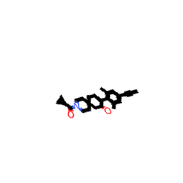 CC#Cc1cc(C)c(C2=[C]CC3(CCN(C(=O)C4CC4)CC3)CC2=O)c(C)c1